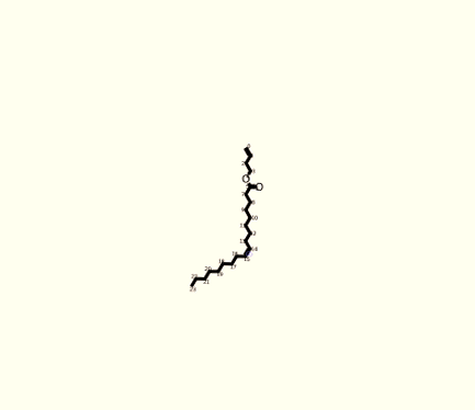 C=CCCOC(=O)CCCCCCC/C=C\CCCCCCCC